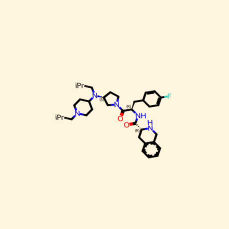 CC(C)CN1CCC(N(CC(C)C)[C@H]2CCN(C(=O)[C@@H](CC3C=CC(F)=CC3)NC(=O)[C@H]3Cc4ccccc4CN3)C2)CC1